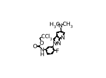 CN(C)c1cnc2nn(-c3cc(NC(=O)OCC(Cl)(Cl)Cl)ccc3F)cc2c1